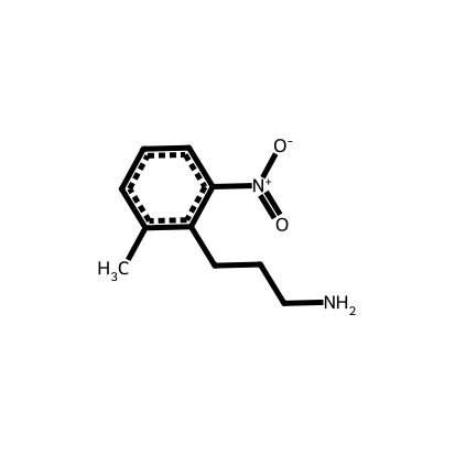 Cc1cccc([N+](=O)[O-])c1CCCN